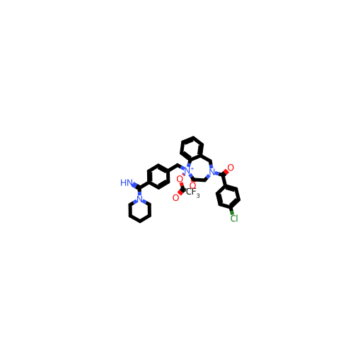 N=C(c1ccc(C[N+]2(OC(=O)C(F)(F)F)C(=O)CN(C(=O)c3ccc(Cl)cc3)Cc3ccccc32)cc1)N1CCCCC1